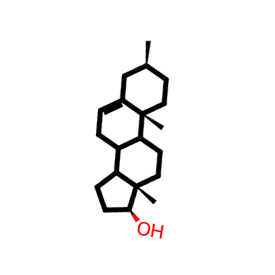 C[C@H]1CC[C@@]2(C)C(=CCC3C2CC[C@@]2(C)C3CC[C@@H]2O)C1